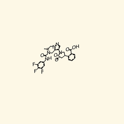 C[C@H]1Cn2ncc(N3CC(c4ccccc4C(=O)O)CS3(=O)=O)c2CN1C(=O)Nc1cc(F)c(F)c(F)c1